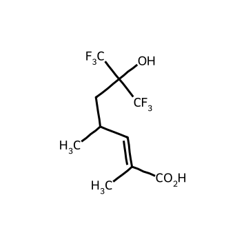 CC(=CC(C)CC(O)(C(F)(F)F)C(F)(F)F)C(=O)O